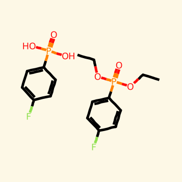 CCOP(=O)(OCC)c1ccc(F)cc1.O=P(O)(O)c1ccc(F)cc1